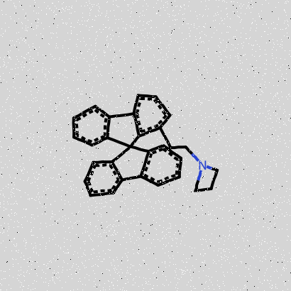 c1ccc2c(c1)-c1ccccc1C21c2ccccc2-c2cccc(CCN3CCC3)c21